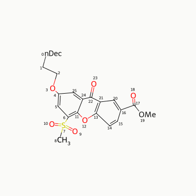 CCCCCCCCCCCCOc1cc(S(C)(=O)=O)c2oc3ccc(C(=O)OC)cc3c(=O)c2c1